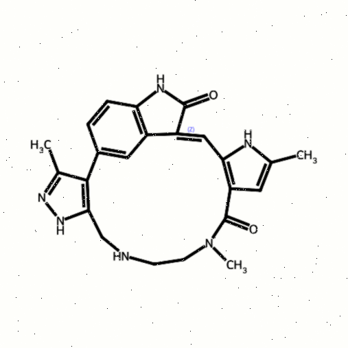 Cc1cc2c([nH]1)/C=C1\C(=O)Nc3ccc(cc31)-c1c(C)n[nH]c1CNCCN(C)C2=O